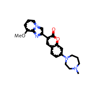 COc1cccn2cc(-c3cc4ccc(N5CCCN(C)CC5)cc4oc3=O)nc12